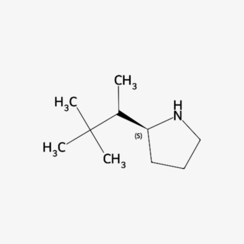 CC([C@@H]1CCCN1)C(C)(C)C